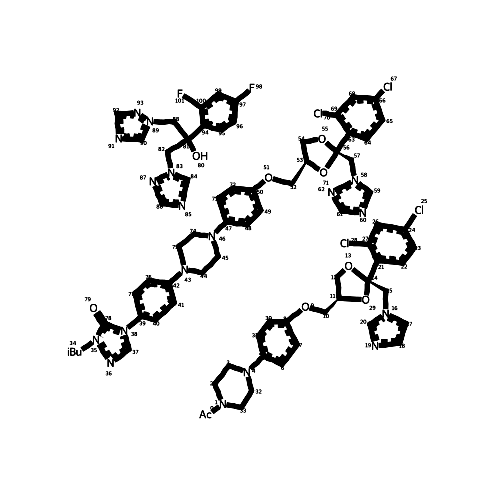 CC(=O)N1CCN(c2ccc(OC[C@H]3CO[C@](Cn4ccnc4)(c4ccc(Cl)cc4Cl)O3)cc2)CC1.CCC(C)n1ncn(-c2ccc(N3CCN(c4ccc(OC[C@H]5CO[C@](Cn6cncn6)(c6ccc(Cl)cc6Cl)O5)cc4)CC3)cc2)c1=O.OC(Cn1cncn1)(Cn1cncn1)c1ccc(F)cc1F